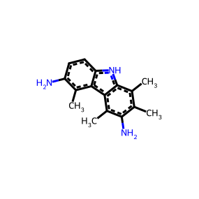 Cc1c(N)c(C)c2c([nH]c3ccc(N)c(C)c32)c1C